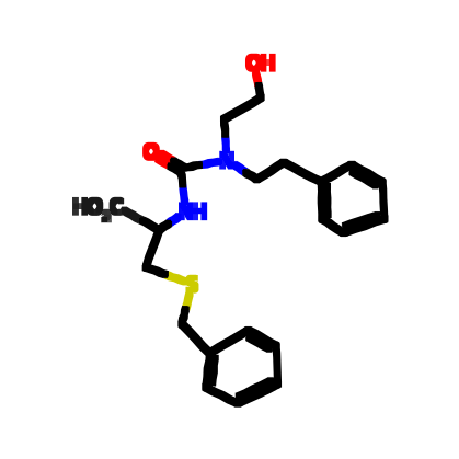 O=C(O)C(CSCc1ccccc1)NC(=O)N(CCO)CCc1ccccc1